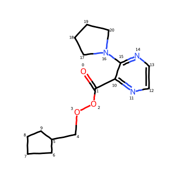 O=C(OOCC1CCCC1)c1nccnc1N1CCCC1